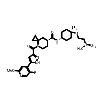 COc1cc(-c2cc(C(=O)N3CC[C@H](C(=O)N[C@H]4CC[C@@](OCCN(C)C)(C(F)(F)F)CC4)CC34CC4)n[nH]2)c(F)cn1